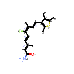 CC(/C=C/C(F)=C(C)\C=C\c1c(C)sc(C)c1C)=C\C(N)=O